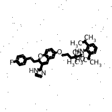 CC(C)c1cccc(C(C)C)c1NC(=O)C(C)(C)CCCOc1ccc2c(c1)C=C(c1ncc[nH]1)C(CCc1ccc(F)cc1)O2